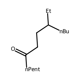 CCCCCC(=O)CCC(CC)CCCC